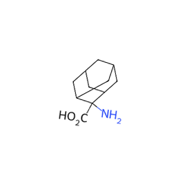 NC1(C(=O)O)C2CC3CC(C2)CC1C3